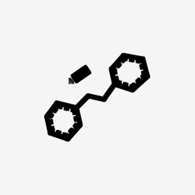 C#N.c1ccc(CCc2ccccc2)cc1